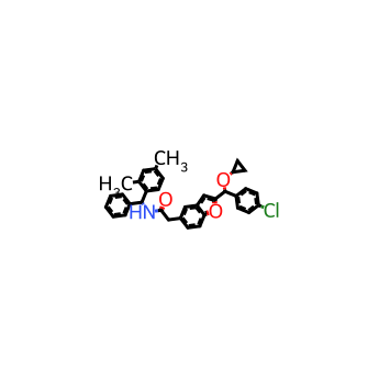 Cc1ccc(C(NC(=O)Cc2ccc3oc(C(OC4CC4)c4ccc(Cl)cc4)cc3c2)c2ccccc2)c(C)c1